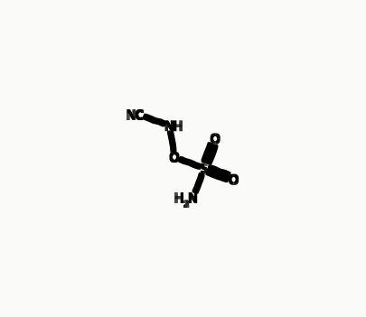 N#CNOS(N)(=O)=O